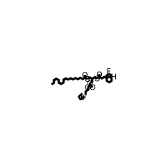 CC/C=C\C/C=C\C/C=C\CCCCCCCC(=O)OCC(COC(=O)CCC12CCC[C@@H](C[C@@H](F)C1)C2)COC(=O)OCCCN1CCCC1